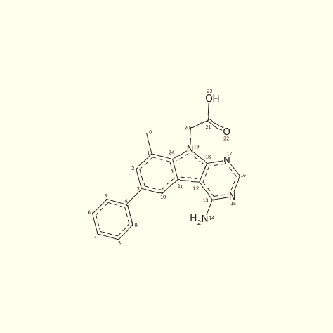 Cc1cc(-c2ccccc2)cc2c3c(N)ncnc3n(CC(=O)O)c12